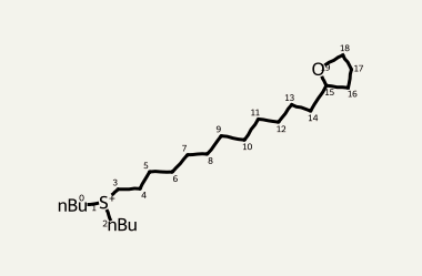 CCCC[S+](CCCC)CCCCCCCCCCCCC1CCCO1